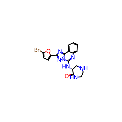 O=C1NCCNC[C@H]1Nc1nc2ccccc2c2nc(-c3ccc(Br)o3)nn12